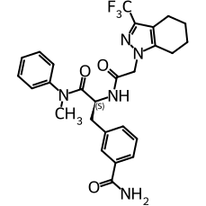 CN(C(=O)[C@H](Cc1cccc(C(N)=O)c1)NC(=O)Cn1nc(C(F)(F)F)c2c1CCCC2)c1ccccc1